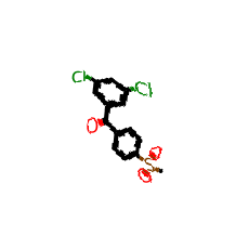 CS(=O)(=O)c1ccc(C(=O)c2cc(Cl)cc(Cl)c2)cc1